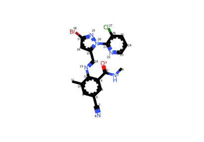 CNC(=O)c1cc(C#N)cc(C)c1N=Cc1cc(Br)nn1-c1ncccc1Cl